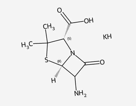 CC1(C)S[C@@H]2C(N)C(=O)N2[C@H]1C(=O)O.[KH]